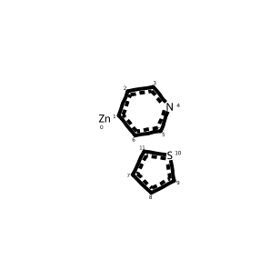 [Zn].c1ccncc1.c1ccsc1